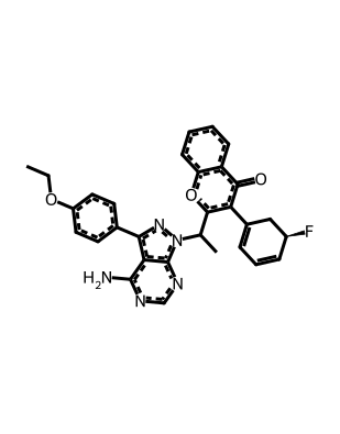 CCOc1ccc(-c2nn(C(C)c3oc4ccccc4c(=O)c3C3=CC=C[C@H](F)C3)c3ncnc(N)c23)cc1